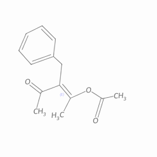 CC(=O)O/C(C)=C(\Cc1ccccc1)C(C)=O